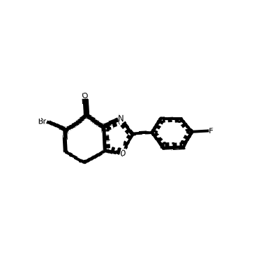 O=C1c2nc(-c3ccc(F)cc3)oc2CCC1Br